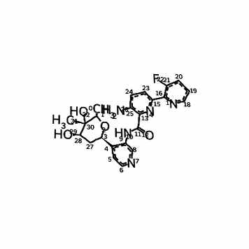 C[C@H]1O[C@@H](c2ccncc2NC(=O)c2nc(-c3ncccc3F)ccc2N)C[C@@H](O)[C@]1(C)O